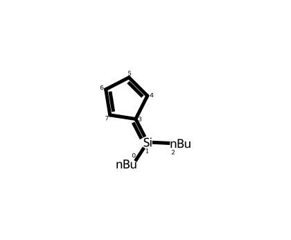 CCCC[Si](CCCC)=C1[C]=CC=C1